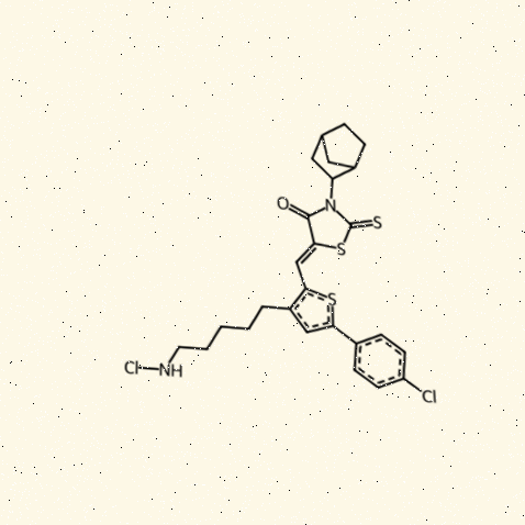 O=C1/C(=C/c2sc(-c3ccc(Cl)cc3)cc2CCCCCNCl)SC(=S)N1C1CC2CCC1C2